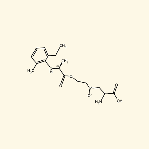 CCc1cccc(C)c1N[C@@H](C)C(=O)OCC[S+]([O-])CC(N)C(=O)O